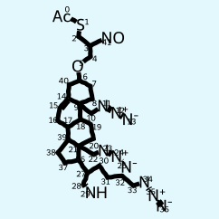 CC(=O)SCC(COC1CCC2(CN=[N+]=[N-])C(=CCC3C2CCC2(CN=[N+]=[N-])C(C(C=N)CCCCN=[N+]=[N-])CCC32)C1)N=O